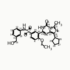 CCOc1ccc(S(=O)(=O)Nc2cccc(CO)c2)cc1-c1nc2c(C3CCCC3)nc(C)n2c(=O)[nH]1